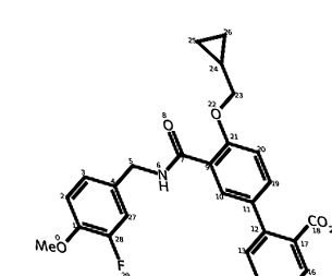 COc1ccc(CNC(=O)c2cc(-c3ccccc3C(=O)O)ccc2OCC2CC2)cc1F